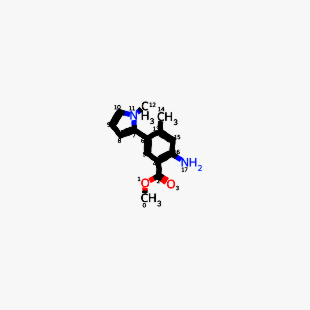 COC(=O)c1cc(-c2cccn2C)c(C)cc1N